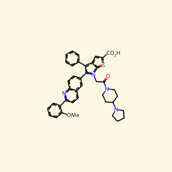 COc1ccccc1-c1ccc2cc(-c3c(-c4ccccc4)c4cc(C(=O)O)sc4n3CC(=O)N3CCC(N4CCCC4)CC3)ccc2n1